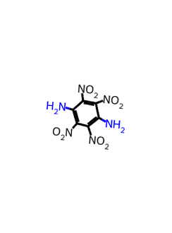 Nc1c([N+](=O)[O-])c([N+](=O)[O-])c(N)c([N+](=O)[O-])c1[N+](=O)[O-]